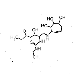 CCNC(=S)NC(CNC1C=CCC(O)C(O)C1O)C(O)CC(O)CC